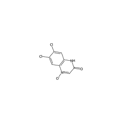 O=c1c[n+]([O-])c2cc(Cl)c(Cl)cc2[nH]1